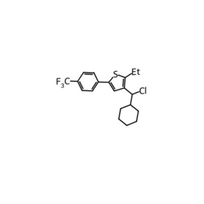 CCc1sc(-c2ccc(C(F)(F)F)cc2)cc1C(Cl)C1CCCCC1